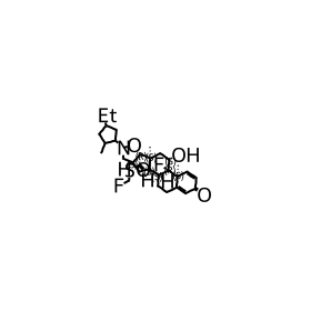 CCC1CC(C)C(N2C[C@@H]3C[C@H]4[C@@H]5CCC6=CC(=O)C=C[C@]6(C)[C@@]5(F)[C@@H](O)C[C@]4(C)[C@]3(C(=O)SCF)O2)C1